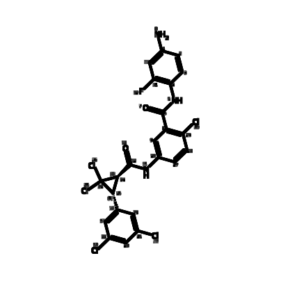 Nc1ccc(NC(=O)c2cc(NC(=O)[C@H]3[C@H](c4cc(Cl)cc(Cl)c4)C3(Cl)Cl)ccc2Cl)c(F)c1